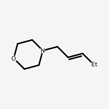 CCC=CCN1CCOCC1